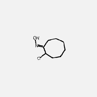 ON=C1CCCCCCC1Cl